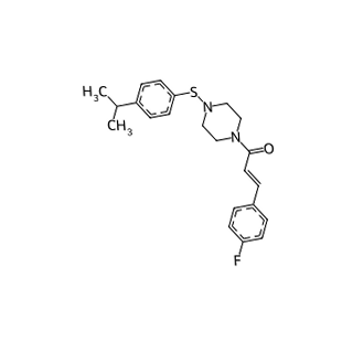 CC(C)c1ccc(SN2CCN(C(=O)/C=C/c3ccc(F)cc3)CC2)cc1